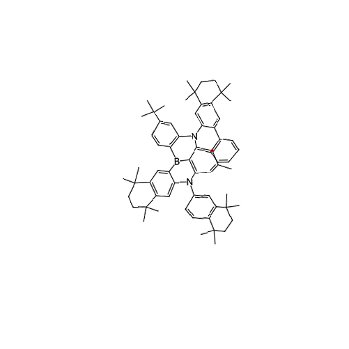 Cc1cc2c3c(c1)N(c1cc4c(cc1-c1ccccc1)C(C)(C)CCC4(C)C)c1cc(C(C)(C)C)ccc1B3c1cc3c(cc1N2c1ccc2c(c1)C(C)(C)CCC2(C)C)C(C)(C)CCC3(C)C